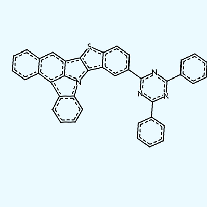 c1ccc(-c2nc(-c3ccccc3)nc(-c3ccc4sc5c6cc7ccccc7c7c8ccccc8n(c5c4c3)c67)n2)cc1